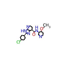 CCOc1ccncc1NC(=O)c1ccnc2[nH]c(-c3ccc(Cl)cc3)nc12